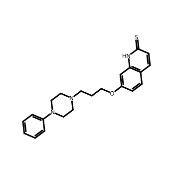 S=c1ccc2ccc(OCCCN3CCN(c4ccccc4)CC3)cc2[nH]1